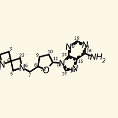 CN1CCC12CN(CC1CCC(n3cnc4c(N)ncnc43)O1)C2